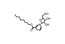 CCCCCCCCOC(=O)C1=CN([C@@H]2OC(CO)[C@@H](O)C2O)C=CC1